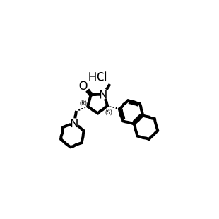 CN1C(=O)[C@@H](CN2CCCCC2)C[C@H]1c1ccc2c(c1)CCCC2.Cl